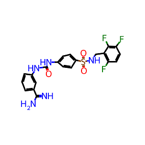 N=C(N)c1cccc(NC(=O)Nc2ccc(S(=O)(=O)NCc3c(F)ccc(F)c3F)cc2)c1